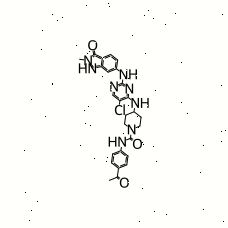 CC(=O)c1ccc(NC(=O)N2CCC(Nc3nc(Nc4ccc5c(=O)n(C)[nH]c5c4)ncc3Cl)CC2)cc1